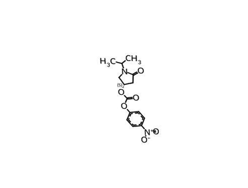 CC(C)N1C[C@@H](OC(=O)Oc2ccc([N+](=O)[O-])cc2)CC1=O